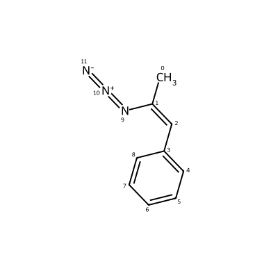 C/C(=C/c1ccccc1)N=[N+]=[N-]